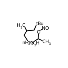 CC(CC(=O)O)CC(C)(C)C.CCCCCCC(C)ON=O